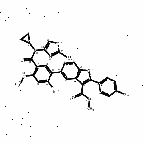 CNC(=O)c1c(-c2ccc(F)cc2)oc2ccc(-c3cc(C(=O)N(c4coc(C)n4)C4CC4)c(OC)cc3C)cc12